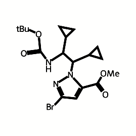 COC(=O)c1cc(Br)nn1C(C1CC1)C(NC(=O)OC(C)(C)C)C1CC1